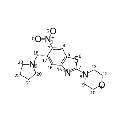 O=[N+]([O-])c1cc2sc(N3CCOCC3)nc2cc1CN1CCCC1